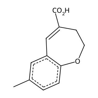 Cc1ccc2c(c1)C=C(C(=O)O)CCO2